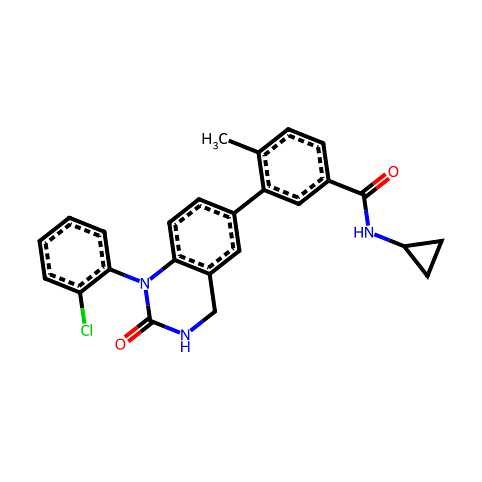 Cc1ccc(C(=O)NC2CC2)cc1-c1ccc2c(c1)CNC(=O)N2c1ccccc1Cl